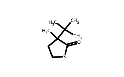 CC(C)(C)C1(C)CCSC1=O